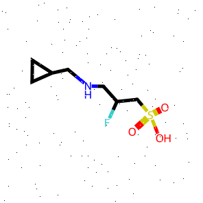 O=S(=O)(O)CC(F)CNCC1CC1